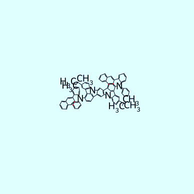 CC(C)(C)c1ccc2c(c1)c1c(N(c3ccccc3)c3ccccc3-c3ccc4ccccc4c3)ccc3c4cc5c(cc4n2c31)c1ccc(N(c2ccccc2)c2ccccc2-c2ccc3ccccc3c2)c2c3cc(C(C)(C)C)ccc3n5c12